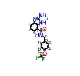 Nc1nc2cccc(C(=O)NCc3ccc(OC(F)(F)F)cc3)c2[nH]1